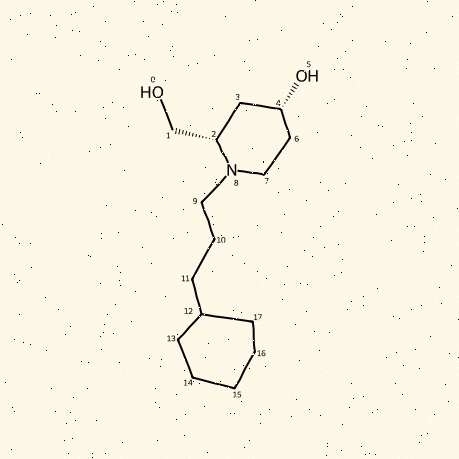 OC[C@@H]1C[C@H](O)CCN1CCCC1CCCCC1